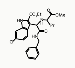 CCOC(=O)c1[nH]c2cc(Cl)ccc2c1C(NC(C(=O)OC)C(C)C)C(=O)NCc1ccccc1